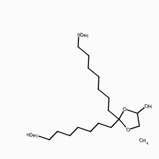 C.CCCCCCCCCCCCCCCCCC1(CCCCCCCCCCCCCCCCC)OCC(O)O1